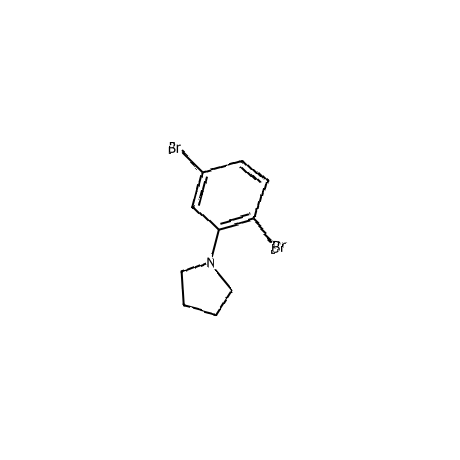 Brc1ccc(Br)c(N2CCCC2)c1